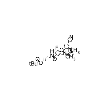 C[C@@H]1C(=O)N(C)c2cc(-c3ccncc3)ccc2C(=O)N1Cc1cc(F)cc(C(=O)NCC[C@H]2C[C@H](OC(=O)C(C)(C)C)C2)c1